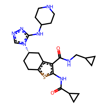 O=C(NCC1CC1)c1c(NC(=O)C2CC2)sc2c1C[C@@H](n1cnnc1NC1CCNCC1)CC2